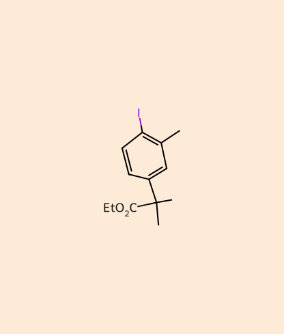 CCOC(=O)C(C)(C)c1ccc(I)c(C)c1